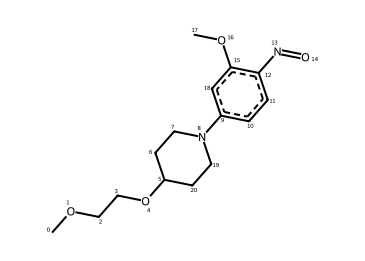 COCCOC1CCN(c2ccc(N=O)c(OC)c2)CC1